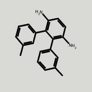 Cc1cccc(-c2c(N)ccc(N)c2-c2cccc(C)c2)c1